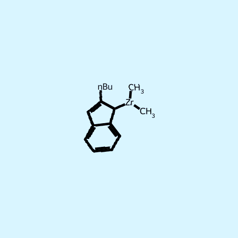 CCCCC1=Cc2ccccc2[CH]1[Zr]([CH3])[CH3]